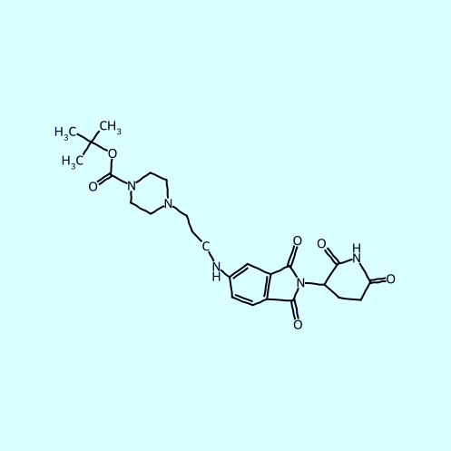 CC(C)(C)OC(=O)N1CCN(CCCNc2ccc3c(c2)C(=O)N(C2CCC(=O)NC2=O)C3=O)CC1